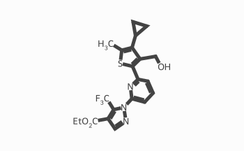 CCOC(=O)c1cnn(-c2cccc(-c3sc(C)c(C4CC4)c3CO)n2)c1C(F)(F)F